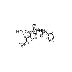 O=C(Cc1ccccc1)N[C@@H]1C(=O)N2C(C(=O)O)=C(/C=C/C3CC3)CSC12